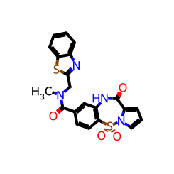 CN(Cc1nc2ccccc2s1)C(=O)c1ccc2c(c1)NC(=O)c1cccn1S2(=O)=O